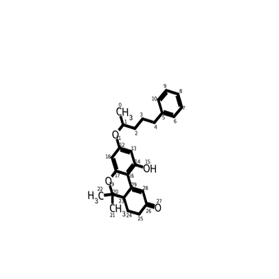 CC(CCCc1ccccc1)Oc1cc(O)c2c(c1)OC(C)(C)C1CCC(=O)C=C21